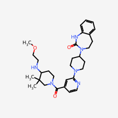 COCCNC1CCN(C(=O)c2ccnc(N3CCC(N4CCc5ccccc5NC4=O)CC3)c2)CC1(C)C